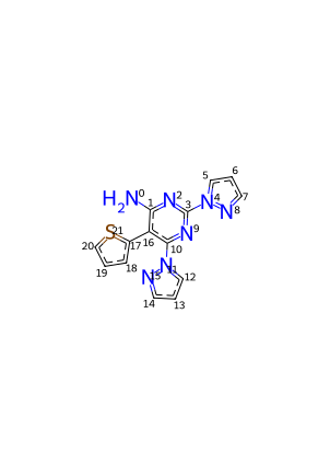 Nc1nc(-n2cccn2)nc(-n2cccn2)c1-c1cccs1